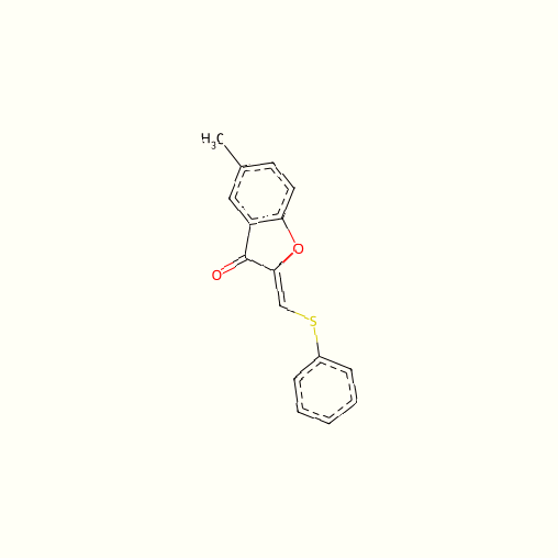 Cc1ccc2c(c1)C(=O)/C(=C/Sc1ccccc1)O2